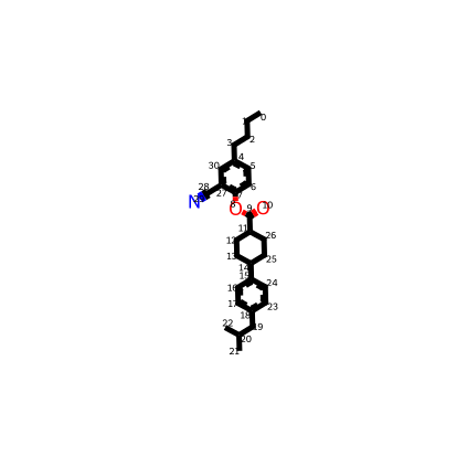 CCCCc1ccc(OC(=O)C2CCC(c3ccc(CC(C)C)cc3)CC2)c(C#N)c1